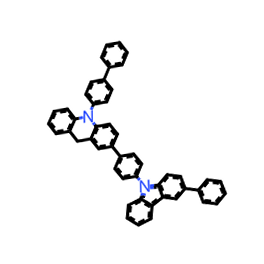 c1ccc(-c2ccc(N3c4ccccc4Cc4cc(-c5ccc(-n6c7ccccc7c7cc(-c8ccccc8)ccc76)cc5)ccc43)cc2)cc1